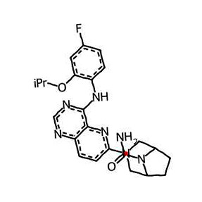 CC(C)Oc1cc(F)ccc1Nc1ncnc2ccc(N3CC4CCC(C3)N4C(N)=O)nc12